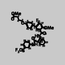 COC(=O)CCCOc1ccc(-c2cc(C(=O)NC3C4CCC(C4)C3C(=O)Nc3cccc(SC(F)(F)F)c3)c(OC)cc2F)cc1